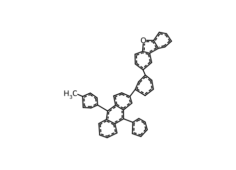 Cc1ccc(-c2c3ccccc3c(-c3ccccc3)c3cc(-c4cccc(-c5ccc6oc7ccccc7c6c5)c4)ccc23)cc1